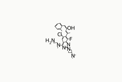 C/C(=C\C(O)=C/c1ccccc1C)c1c(Cl)cc2c(N(C)CCN)nc(N3CC(N(C)C)C3)nc2c1F